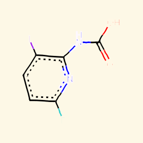 O=C(O)Nc1nc(F)ccc1I